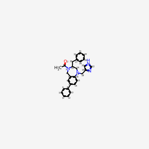 CC(=O)N1Cc2cc(-c3ccccc3)ccc2N(Cc2c[nH]cn2)CC1Cc1ccccc1